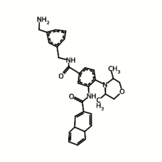 CC1COCC(C)N1c1ccc(C(=O)NCc2cccc(CN)c2)cc1NC(=O)C1=CC2C=CC=CC2C=C1